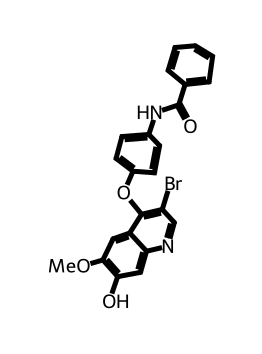 COc1cc2c(Oc3ccc(NC(=O)c4ccccc4)cc3)c(Br)cnc2cc1O